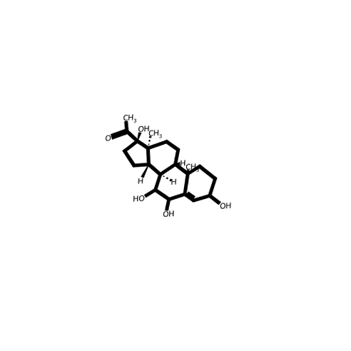 CC(=O)[C@@]1(O)CC[C@H]2[C@@H]3C(O)C(O)C4=CC(O)CC[C@]4(C)[C@H]3CC[C@@]21C